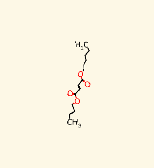 CCCCCCOC(=O)C=CC(=O)OCCCC